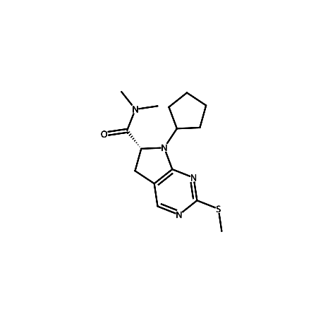 CSc1ncc2c(n1)N(C1CCCC1)[C@@H](C(=O)N(C)C)C2